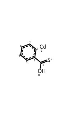 OC(=S)c1ccccc1.[Cd]